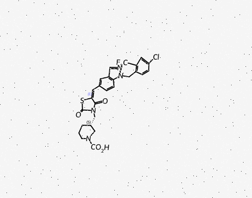 O=C(O)N1CCC[C@H](CN2C(=O)S/C(=C/c3ccc4c(cnn4Cc4ccc(Cl)cc4C(F)(F)F)c3)C2=O)C1